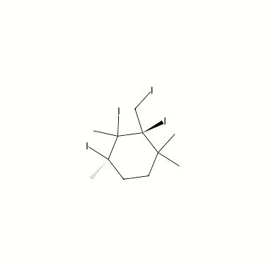 CC1(C)CC[C@@](C)(I)C(C)(I)[C@]1(I)CI